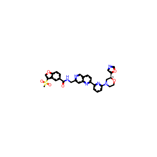 CS(=O)(=O)c1coc2ccc(C(=O)NCc3cc4nc(-c5cccc(N6CCO[C@H](c7cnco7)C6)n5)ccc4cn3)cc12